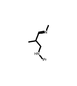 C/N=C/C(C)CNC(C)C